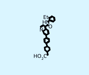 CCc1ccccc1NC(=O)c1ccnc2cc(-c3ccc(C4CCC(CC(=O)O)CC4)cc3)ccc12